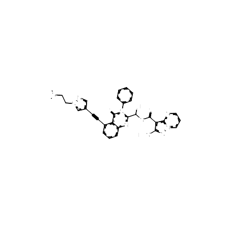 CCN(CC)CCn1cc(C#Cc2cccc3nc(C(C)NC(=O)c4c(N)nn5cccnc45)n(-c4ccccc4)c(=O)c23)cn1